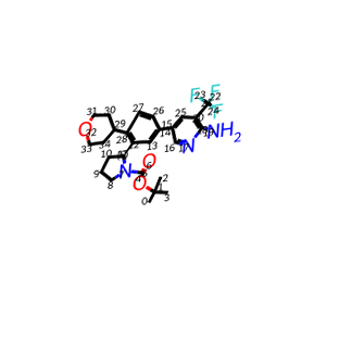 CC(C)(C)OC(=O)N1CCC[C@H]1c1cc(-c2cnc(N)c(C(F)(F)F)c2)ccc1C1CCOCC1